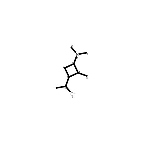 CC(O)C1CC(N(C)C)C1C